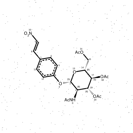 CC(=O)N[C@H]1[C@H](Oc2ccc(C=C[N+](=O)[O-])cc2)O[C@H](COC(C)=O)[C@@H](OC(C)=O)[C@@H]1OC(C)=O